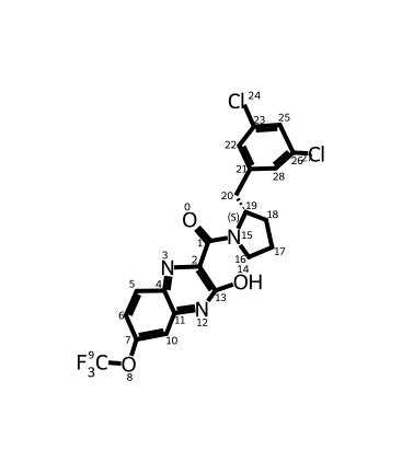 O=C(c1nc2ccc(OC(F)(F)F)cc2nc1O)N1CCC[C@H]1Cc1cc(Cl)cc(Cl)c1